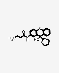 CCCC(=O)Nc1ccc2c(c1)C(O)(C1SCCCS1)c1ccccc1S2